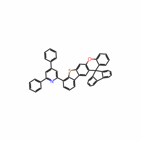 c1ccc(-c2cc(-c3ccccc3)nc(-c3cccc4c3sc3cc5c(cc34)C3(c4ccccc4O5)c4ccccc4-c4ccccc43)c2)cc1